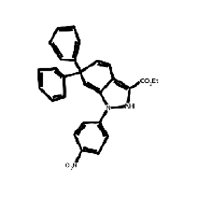 CCOC(=O)C1=C2C=CC(c3ccccc3)(c3ccccc3)C=C2N(c2ccc([N+](=O)[O-])cc2)N1